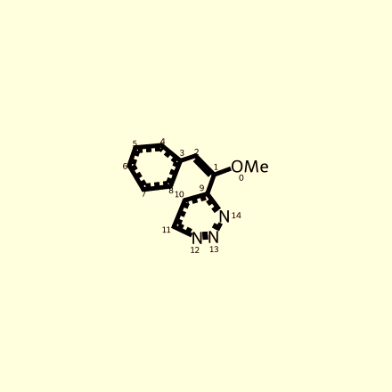 COC(=Cc1ccccc1)c1ccnnn1